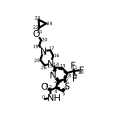 CNC(=O)c1csc2c(C(F)(F)F)cc(N3CCN(CCOC4CC4)CC3)nc12